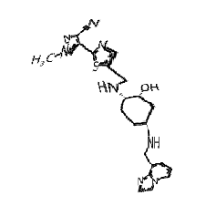 Cn1cc(-c2ncc(CN[C@H]3CC[C@H](NCc4cccn5ccnc45)C[C@H]3O)s2)c(C#N)n1